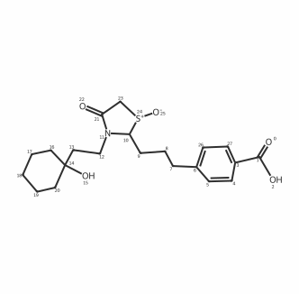 O=C(O)c1ccc(CCCC2N(CCC3(O)CCCCC3)C(=O)C[S+]2[O-])cc1